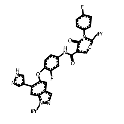 CC(C)c1ccc(C(=O)Nc2ccc(Oc3cc4cnn(C(C)C)c4cc3-c3cn[nH]c3)c(F)c2)c(=O)n1-c1ccc(F)cc1